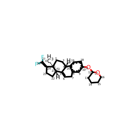 C[C@]12CC[C@H]3C(=CCc4cc(OC5CCCCO5)ccc43)[C@@H]1CCC2=C(F)F